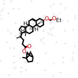 CCOCO[C@H]1CC[C@@]2(C)C(=CC[C@H]3[C@@H]4CC[C@H]([C@H](C)CCC(=O)O[C@@H]5CC6CCC5(C)C6(C)C)[C@@]4(C)CC[C@@H]32)C1